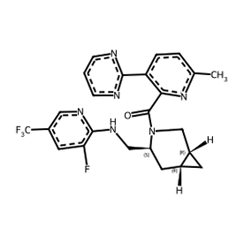 Cc1ccc(-c2ncccn2)c(C(=O)N2C[C@@H]3C[C@@H]3C[C@H]2CNc2ncc(C(F)(F)F)cc2F)n1